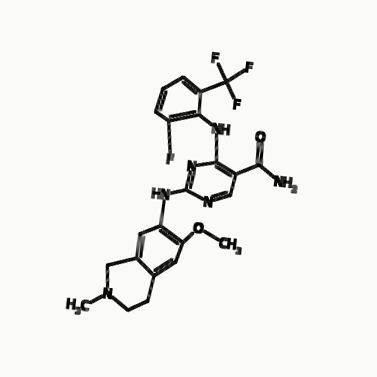 COc1cc2c(cc1Nc1ncc(C(N)=O)c(Nc3c(F)cccc3C(F)(F)F)n1)CN(C)CC2